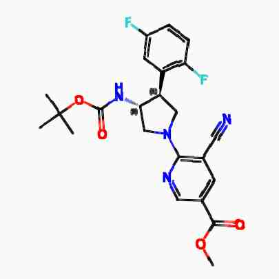 COC(=O)c1cnc(N2C[C@H](NC(=O)OC(C)(C)C)[C@@H](c3cc(F)ccc3F)C2)c(C#N)c1